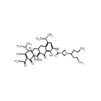 CCCC(CCC)N1CC(C(=O)Nc2cc(N(C)C)c3c(c2O)C(=O)C2=C(O)[C@]4(O)C(=O)C(C(N)=O)=C(O)[C@@H](N(C)C)[C@@H]4CC2C3)C1